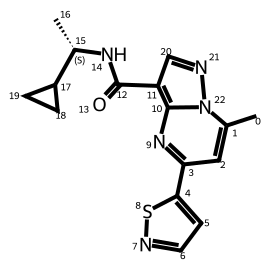 Cc1cc(-c2ccns2)nc2c(C(=O)N[C@@H](C)C3CC3)cnn12